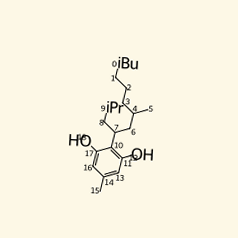 CCC(C)CCCC(C)CC(CC(C)C)c1c(O)cc(C)cc1O